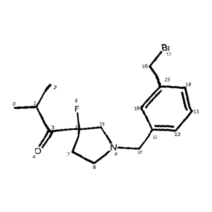 CC(C)C(=O)C1(F)CCN(Cc2cccc(CBr)c2)C1